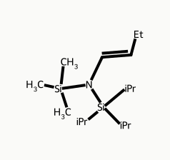 CCC=CN([Si](C)(C)C)[Si](C(C)C)(C(C)C)C(C)C